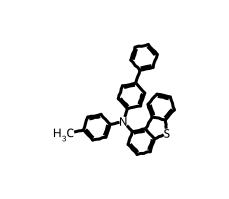 Cc1ccc(N(c2ccc(-c3ccccc3)cc2)c2cccc3sc4ccccc4c23)cc1